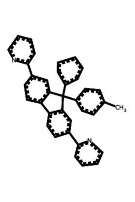 Cc1ccc(C2(c3ccccc3)c3cc(-c4ccccn4)ccc3-c3ccc(-c4ccccn4)cc32)cc1